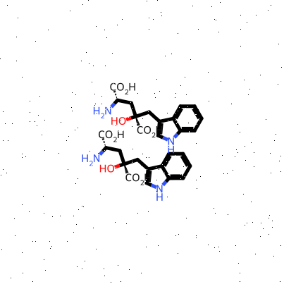 N[C@@H](C[C@@](O)(Cc1c[nH]c2ccccc12)C(=O)O)C(=O)O.N[C@@H](C[C@@](O)(Cc1c[nH]c2ccccc12)C(=O)O)C(=O)O